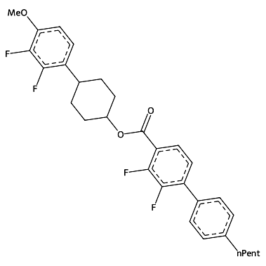 CCCCCc1ccc(-c2ccc(C(=O)OC3CCC(c4ccc(OC)c(F)c4F)CC3)c(F)c2F)cc1